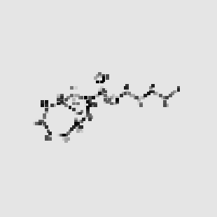 CCCCCOC(=O)N1CC2CCCCC(C1)C2C